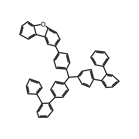 c1ccc(-c2ccccc2-c2ccc(C(c3ccc(-c4ccc5oc6ccccc6c5c4)cc3)c3ccc(-c4ccccc4-c4ccccc4)cc3)cc2)cc1